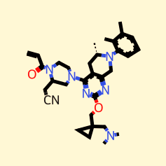 C=CC(=O)N1CCN(c2nc(OCC3(CN(C)C)CC3)nc3c2C[C@H](C)N(c2cccc(C)c2C)C3)CC1CC#N